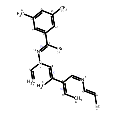 C=CN(/C=C(C)/C(/C=N\C=CCC)=C/C)/N=C(/c1cc(C(F)(F)F)cc(C(F)(F)F)c1)C(C)CC